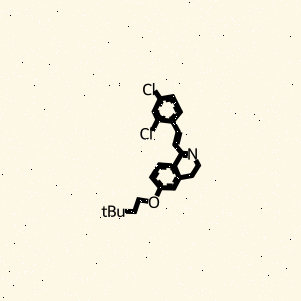 CC(C)(C)CCOc1ccc2c(c1)CCN=C2/C=C/c1ccc(Cl)cc1Cl